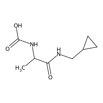 CC(NC(=O)O)C(=O)NCC1CC1